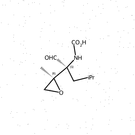 CC(C)C[C@](C=O)(NC(=O)O)[C@]1(C)CO1